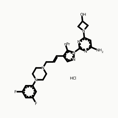 CCCc1c(/C=C/CN2CCN(c3cc(F)cc(F)c3)CC2)cnn1-c1nc(N)cc(N2CC(O)C2)n1.Cl